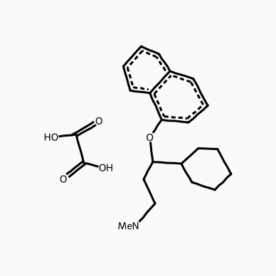 CNCCC(Oc1cccc2ccccc12)C1CCCCC1.O=C(O)C(=O)O